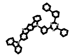 c1ccc(-c2cccc(-c3nc(-c4ccccc4)nc(-c4cccc(-n5c6ccccc6c6cc7sc8cc(-n9c%10ccccc%10c%10ccccc%109)ccc8c7cc65)c4)n3)c2)cc1